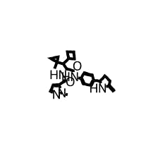 C=C1CCC(c2ccc(NC(=O)[C@@H](NC(=O)c3ccnn3C)C(C3CCC3)C3(C)CC3)cc2)N1